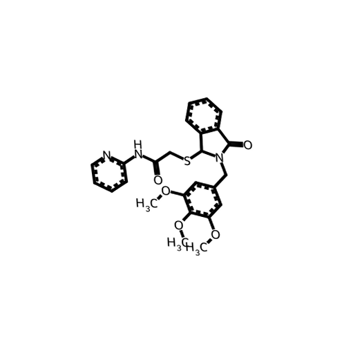 COc1cc(CN2C(=O)c3ccccc3C2SCC(=O)Nc2ccccn2)cc(OC)c1OC